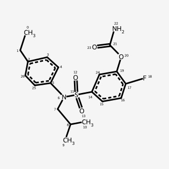 CCc1ccc(N(CC(C)C)S(=O)(=O)c2ccc(F)c(OC(N)=O)c2)cc1